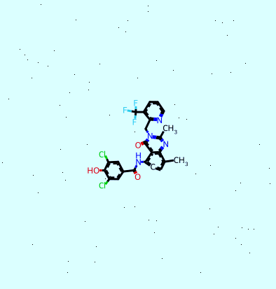 Cc1ccc(NC(=O)c2cc(Cl)c(O)c(Cl)c2)c2c(=O)n(Cc3ncccc3C(F)(F)F)c(C)nc12